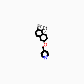 CCC1C(C(C)C)CC=C2C[C@@H](OCc3ccncc3)CC[C@@]21C